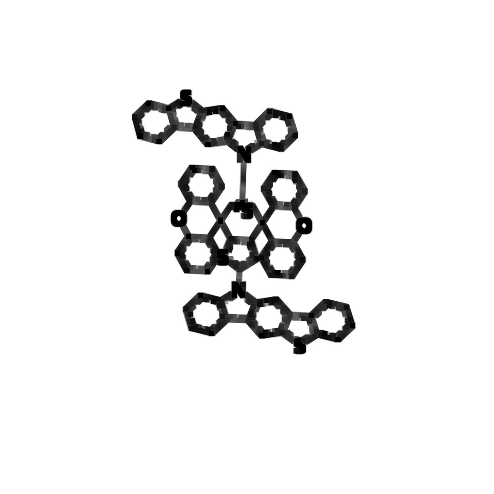 c1ccc2c(c1)Oc1ccccc1C21c2cc(-n3c4ccccc4c4cc5sc6ccccc6c5cc43)sc2C2(c3ccccc3Oc3ccccc32)c2cc(-n3c4ccccc4c4cc5sc6ccccc6c5cc43)sc21